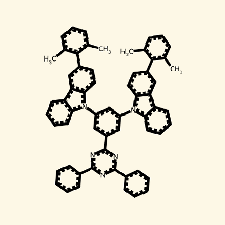 Cc1cccc(C)c1-c1ccc2c(c1)c1ccccc1n2-c1cc(-c2nc(-c3ccccc3)nc(-c3ccccc3)n2)cc(-n2c3ccccc3c3cc(-c4c(C)cccc4C)ccc32)c1